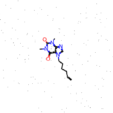 C=CCCCCn1cnc2c1c(=O)n(C)c(=O)n2C